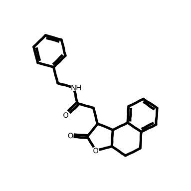 O=C(CC1C(=O)OC2CCc3ccccc3C21)NCc1ccccc1